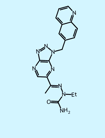 CCN(N=C(C)c1cnc2nnn(Cc3ccc4ncccc4c3)c2n1)C(N)=O